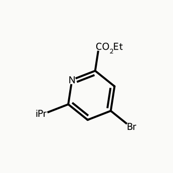 CCOC(=O)c1cc(Br)cc(C(C)C)n1